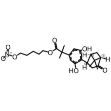 CC(C)(C(=O)OCCCCCO[N+](=O)[O-])c1cc(O)c([C@H]2CC(=O)[C@H]3C[C@H]2C3(C)C)c(O)c1